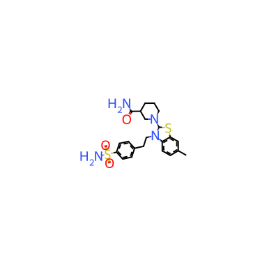 Cc1ccc2c(c1)SC(N1CCCC(C(N)=O)C1)N2CCc1ccc(S(N)(=O)=O)cc1